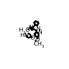 CCOc1cc2ncnc(-c3cn(C)nc3-c3ccccc3)c2cc1OC1CCNCC1